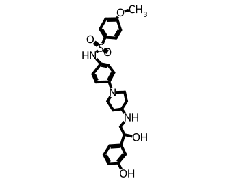 COc1ccc(S(=O)(=O)Nc2ccc(N3CCC(NCC(O)c4cccc(O)c4)CC3)cc2)cc1